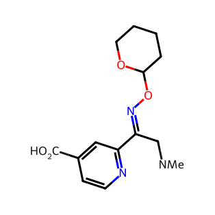 CNC/C(=N\OC1CCCCO1)c1cc(C(=O)O)ccn1